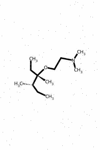 CC[C@H](C)[C@](C)(CC)OCCN(C)C